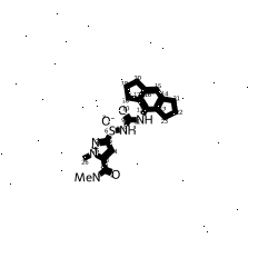 CNC(=O)c1cc([S+]([O-])NC(=O)Nc2c3c(cc4c2CCC4)CCC3)nn1C